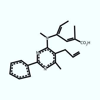 C=CCc1c(C)nc(-c2ccccc2)nc1N(C)C(/C=C(\C)C(=O)O)=C/C